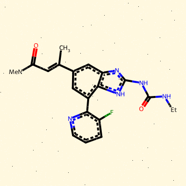 CCNC(=O)Nc1nc2cc(/C(C)=C/C(=O)NC)cc(-c3ncccc3F)c2[nH]1